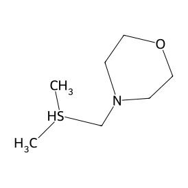 C[SH](C)CN1CCOCC1